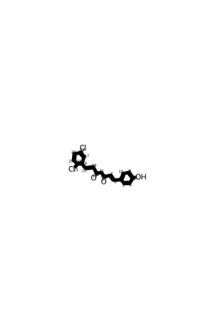 O=C(C=Cc1ccc(O)cc1)CC(=O)C=Cc1cc(Cl)ccc1Cl